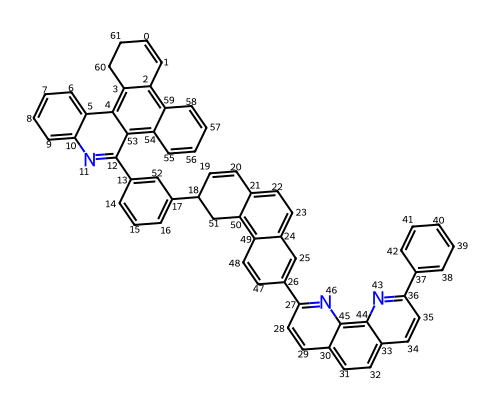 C1=Cc2c(c3c4ccccc4nc(-c4cccc(C5C=Cc6ccc7cc(-c8ccc9ccc%10ccc(-c%11ccccc%11)nc%10c9n8)ccc7c6C5)c4)c3c3ccccc23)CC1